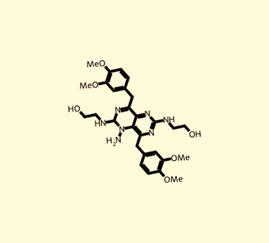 COc1ccc(CC2=NC(NCCO)N(N)c3c(Cc4ccc(OC)c(OC)c4)nc(NCCO)nc32)cc1OC